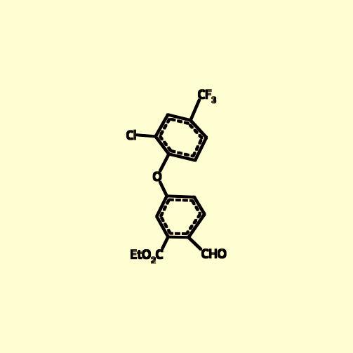 CCOC(=O)c1cc(Oc2ccc(C(F)(F)F)cc2Cl)ccc1C=O